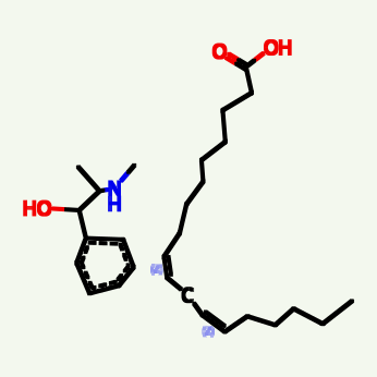 CCCCC/C=C\C/C=C\CCCCCCCC(=O)O.CNC(C)C(O)c1ccccc1